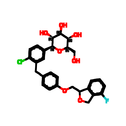 OC[C@H]1O[C@@H](c2ccc(Cl)c(Cc3ccc(OCC4OCc5c(F)cccc54)cc3)c2)[C@H](O)[C@@H](O)[C@@H]1O